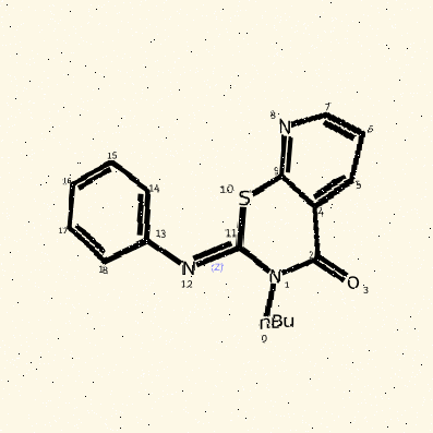 CCCCn1c(=O)c2cccnc2s/c1=N\c1ccccc1